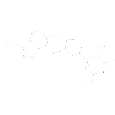 Cc1c(Cl)nc(CO)nc1N1CCC(Oc2ccc3c(cnn3C)c2)C(F)C1